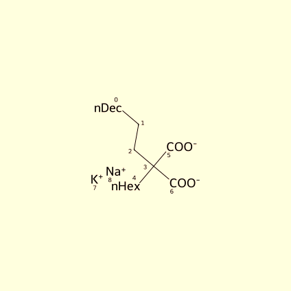 CCCCCCCCCCCCC(CCCCCC)(C(=O)[O-])C(=O)[O-].[K+].[Na+]